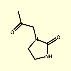 CC(=O)CN1CCNC1=O